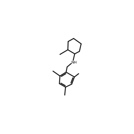 Cc1cc(C)c(CNC2CCCCC2C)c(C)c1